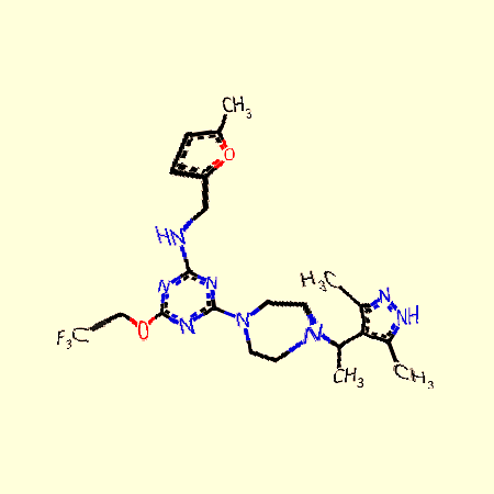 Cc1ccc(CNc2nc(OCC(F)(F)F)nc(N3CCN(C(C)c4c(C)n[nH]c4C)CC3)n2)o1